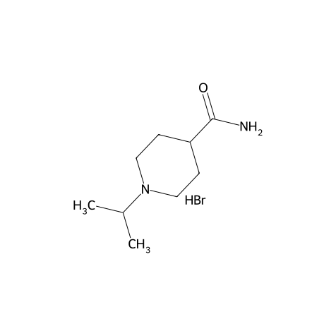 Br.CC(C)N1CCC(C(N)=O)CC1